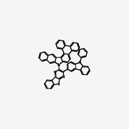 c1ccc(-n2c3ccccc3c3cc(-c4nc5sc6ccccc6c5nc4-n4c5cc6ccccc6cc5c5c6c7ccccc7c7ccccc7c6ccc54)ccc32)cc1